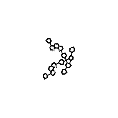 c1ccc(-c2ccc3c(c2)C(c2ccc(-c4ccc5ccc6c(-c7ccccc7)ccnc6c5n4)cc2)(c2ccc(-c4ccc5ccc6c(-c7ccccc7)ccnc6c5n4)cc2)c2cc(-c4ccccc4)ccc2-3)cc1